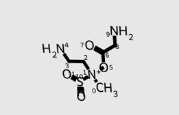 C[N+](CCN)(OC(=O)CN)[SH](=O)=O